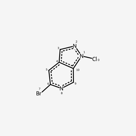 Cln1ncc2cc(Br)ncc21